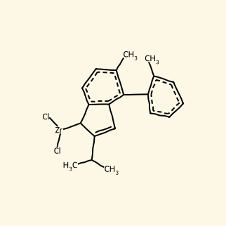 Cc1ccccc1-c1c(C)ccc2c1C=C(C(C)C)[CH]2[Zr]([Cl])[Cl]